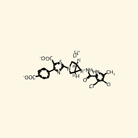 Cc1[nH]c(C(=O)N[C@@H]2[C@@H]3CN(c4nc(-c5ccc(C(=O)[O-])cc5)c(C(=O)[O-])s4)C[C@@H]32)c(Cl)c1Cl.[Li+].[Li+]